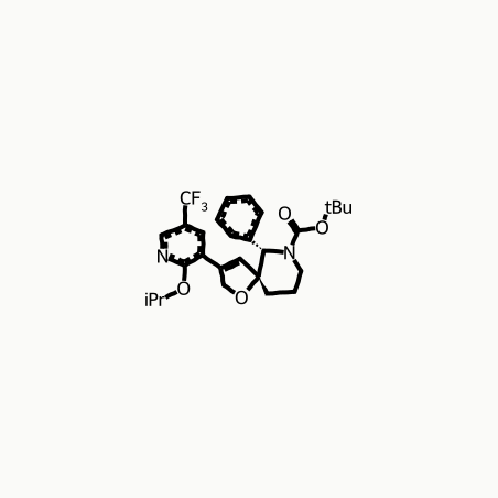 CC(C)Oc1ncc(C(F)(F)F)cc1C1=C[C@@]2(CCCN(C(=O)OC(C)(C)C)[C@H]2c2ccccc2)OC1